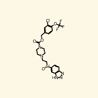 O=C(OCc1ccc(OC(F)(F)F)c(Cl)c1)N1CCN(CC[S+]([O-])c2ccc3nn[nH]c3c2)CC1